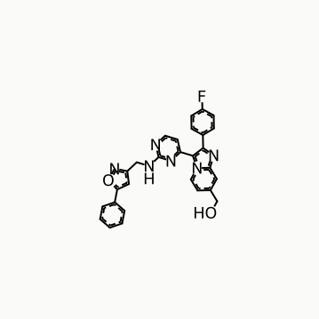 OCc1ccn2c(-c3ccnc(NCc4cc(-c5ccccc5)on4)n3)c(-c3ccc(F)cc3)nc2c1